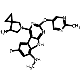 CNc1cc(F)cc2c1[nH]c1nc(Oc3cnc(C)nc3)nc(N3CC(N)C4(CC4)C3)c12